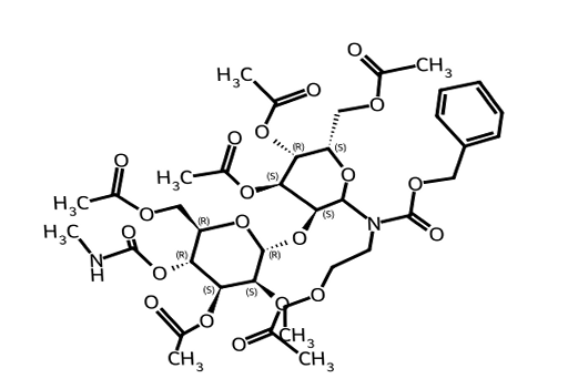 CCOCCN(C(=O)OCc1ccccc1)C1O[C@@H](COC(C)=O)[C@@H](OC(C)=O)[C@H](OC(C)=O)[C@@H]1O[C@H]1O[C@H](COC(C)=O)[C@@H](OC(=O)NC)[C@H](OC(C)=O)[C@@H]1OC(C)=O